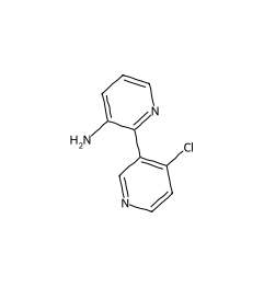 Nc1cccnc1-c1cnccc1Cl